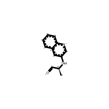 C[C@@H]([C]=O)Nc1cnc2ccccc2c1